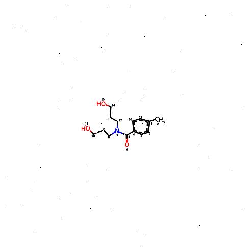 Cc1ccc(C(=O)N(CCCO)CCCO)cc1